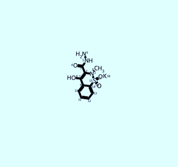 CN1C(C(=O)NN)=C(O)c2ccccc2S1(=O)=O.[K]